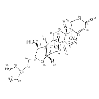 C[C@H]1[C@H]2[C@H](C[C@H]3[C@@H]4C=CC5=CC(=O)CC[C@]5(C)[C@H]4CC[C@]23C)O[C@@H]1CCC(CN)CO